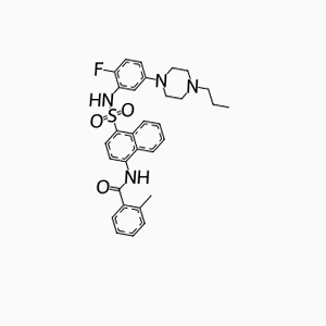 CCCN1CCN(c2ccc(F)c(NS(=O)(=O)c3ccc(NC(=O)c4ccccc4C)c4ccccc34)c2)CC1